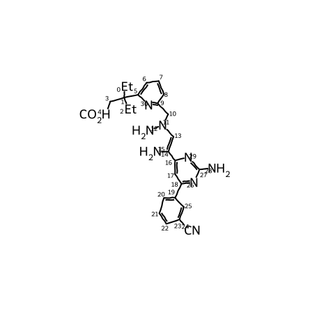 CCC(CC)(CC(=O)O)c1cccc(CN(N)/C=C(\N)c2cc(-c3cccc(C#N)c3)nc(N)n2)n1